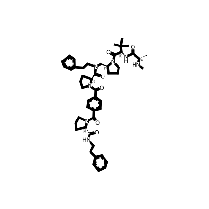 CN[C@@H](C)C(=O)N[C@H](C(=O)N1CCC[C@H]1CN(CCc1ccccc1)C(=O)[C@@H]1CCCN1C(=O)c1ccc(C(=O)N2CCC[C@H]2C(=O)NCCc2ccccc2)cc1)C(C)(C)C